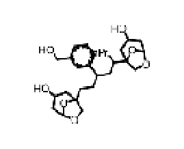 CCCC(CC(CCC12COC(CC(O)C1)O2)c1cccc(CO)c1)C12COC(CC(O)C1)O2